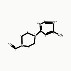 Cc1cc(N2CCN(C=O)CC2)ncn1